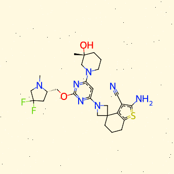 CN1CC(F)(F)C[C@H]1COc1nc(N2CC3(CCCc4sc(N)c(C#N)c43)C2)cc(N2CCC[C@@](C)(O)C2)n1